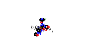 C/C=C\c1c(C(F)(F)F)cc2c(cnn2C2CCCCO2)c1-c1nccc2c1sc1nc(OC[C@@]34CCCN3C[C@H](F)C4)nc(N3CCOC[C@@](C)(O)C3)c12